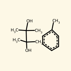 CC(C)(O)C(C)(C)O.Cc1ccccc1